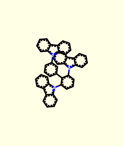 c1cc(-c2c(-n3c4ccccc4c4ccccc43)cccc2-n2c3ccccc3c3ccccc32)cc(-n2c3ccccc3c3ccccc32)c1